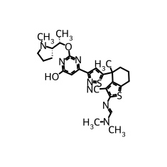 C[C@H](Oc1nc(O)cc(-c2cc(C3(C)CCCc4sc(/N=C/N(C)C)c(C#N)c43)sn2)n1)[C@@H]1CCCN1C